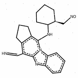 N=Cc1c2c(c(NC3CCCC[C@H]3CN=O)n3c1nc1ccccc13)CCC2